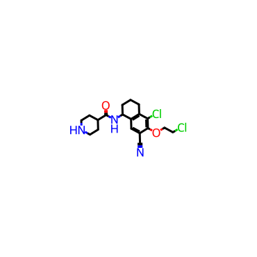 N#Cc1cc2c(c(Cl)c1OCCCl)CCCC2NC(=O)C1CCNCC1